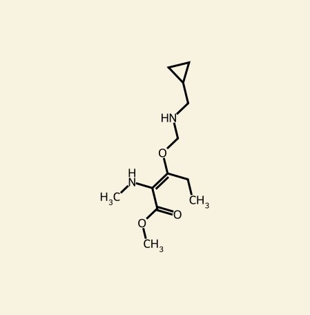 CC/C(OCNCC1CC1)=C(/NC)C(=O)OC